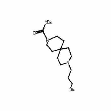 CC(C)(C)CCCN1CCC2(CC1)CCN(C(=O)C(C)(C)C)CC2